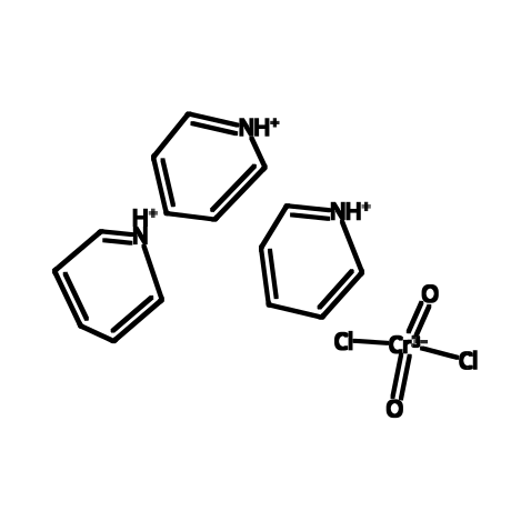 [O]=[Cr-3](=[O])([Cl])[Cl].c1cc[nH+]cc1.c1cc[nH+]cc1.c1cc[nH+]cc1